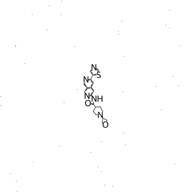 O=C(Nc1cc2cc(-c3cncs3)ncc2cn1)C1CCN(C2COC2)CC1